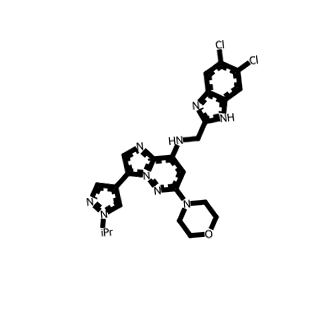 CC(C)n1cc(-c2cnc3c(NCc4nc5cc(Cl)c(Cl)cc5[nH]4)cc(N4CCOCC4)nn23)cn1